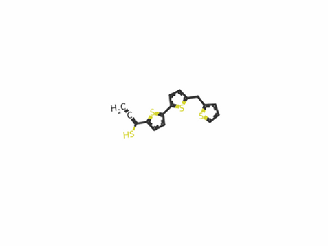 C=C=C(S)c1ccc(-c2ccc(Cc3cccs3)s2)s1